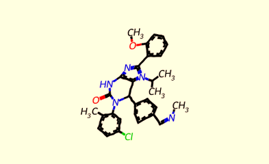 C/N=C\c1ccc(C2c3c(nc(-c4ccccc4OC)n3C(C)C)NC(=O)N2c2cc(Cl)ccc2C)cc1